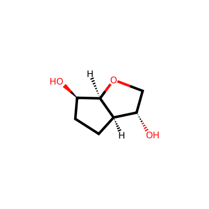 O[C@@H]1CC[C@H]2[C@@H]1OC[C@@H]2O